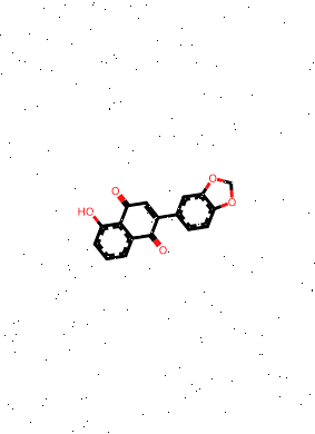 O=C1C(c2ccc3c(c2)OCO3)=CC(=O)c2c(O)cccc21